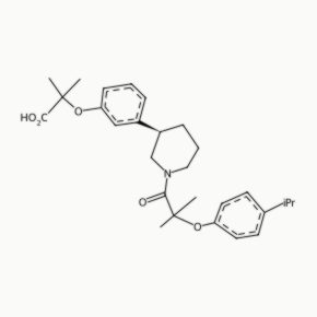 CC(C)c1ccc(OC(C)(C)C(=O)N2CCC[C@H](c3cccc(OC(C)(C)C(=O)O)c3)C2)cc1